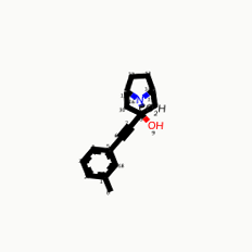 Cc1cccc(C#CC2(O)CC3CCC(C2)N3C(=O)O)c1